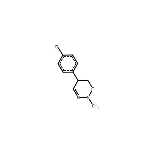 CN1N=CC(c2ccc(Cl)cc2)CO1